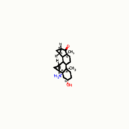 C[C@]12CCC3C(C1[C@@H]1C[C@@H]1C2=O)[C@H]1C[C@H]1[C@]1(N)C[C@@H](O)CC[C@]31C